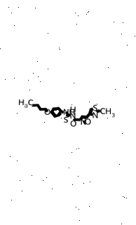 CCCCCOc1ccc(NC(=S)NC(=O)c2cc(-c3csc(C)n3)on2)cc1